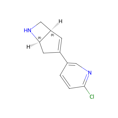 Clc1ccc(C2=C[C@@H]3CN[C@@H]3C2)cn1